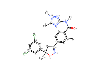 CCc1nc(N(CC)C(=O)c2ccc(C3=NOC(c4cc(Cl)cc(Cl)c4)(C(F)(F)F)C3)cc2C)nn1CC